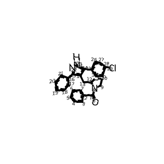 O=C(c1ccccc1)N1CCSC1Cc1c(-c2ccccc2)n[nH]c1-c1ccc(Cl)cc1